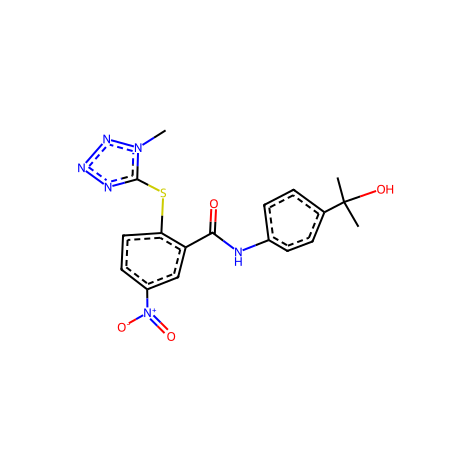 Cn1nnnc1Sc1ccc([N+](=O)[O-])cc1C(=O)Nc1ccc(C(C)(C)O)cc1